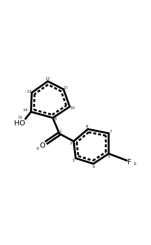 O=C(c1ccc(F)cc1)c1ccccc1O